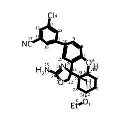 CCO[C@H]1CC[C@@H]2Oc3ccc(-c4cc(Cl)cc(C#N)c4)cc3C3(COC(N)=N3)[C@H]2C1